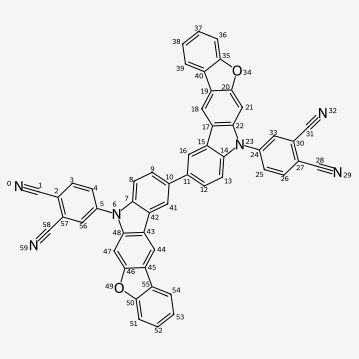 N#Cc1ccc(-n2c3ccc(-c4ccc5c(c4)c4cc6c(cc4n5-c4ccc(C#N)c(C#N)c4)oc4ccccc46)cc3c3cc4c(cc32)oc2ccccc24)cc1C#N